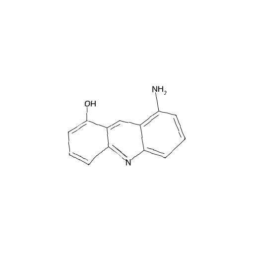 Nc1cccc2nc3cccc(O)c3cc12